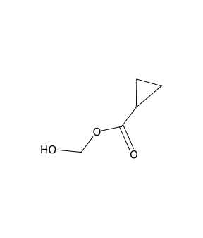 O=C(OCO)C1CC1